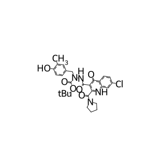 Cc1cc(CN(NC(=O)c2c(C(=O)N3CCCC3)[nH]c3cc(Cl)ccc3c2=O)C(=O)OC(C)(C)C)ccc1O